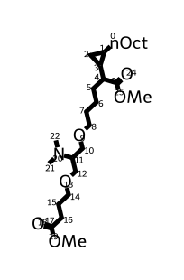 CCCCCCCCC1CC1C(CCCCOCC(COCCCC(=O)OC)N(C)C)C(=O)OC